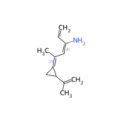 C=C/C(N)=C\C(C)=C1\CC1C(=C)C